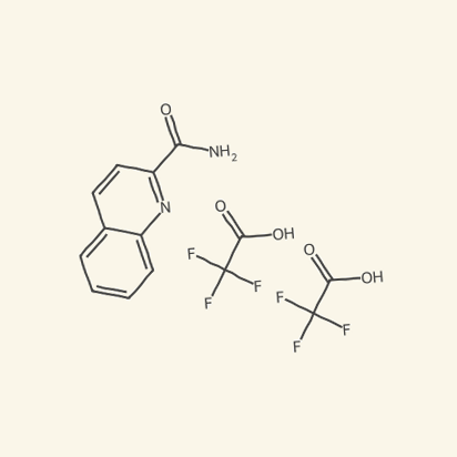 NC(=O)c1ccc2ccccc2n1.O=C(O)C(F)(F)F.O=C(O)C(F)(F)F